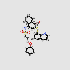 O=S(=O)(CCCOc1ccccc1)Nc1cc(Sc2cccc3cccnc23)c(O)c2ccccc12